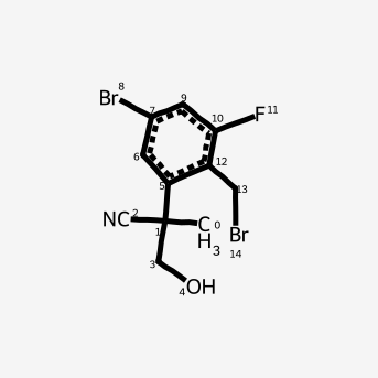 CC(C#N)(CO)c1cc(Br)cc(F)c1CBr